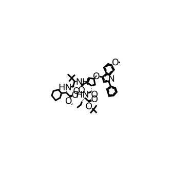 CCC[C@H](NC(=O)[C@H]1C[C@H](Oc2cc(-c3ccccc3)nc3cc(OC)ccc23)C=C1C(=O)N[C@@H](C(=O)N[C@H](C(=O)OC)C1CCCCC1)C(C)(C)C)C(=O)OC(C)(C)C